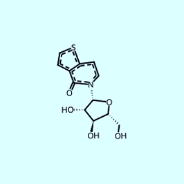 O=c1c2ccsc2ccn1[C@@H]1O[C@H](CO)[C@@H](O)[C@@H]1O